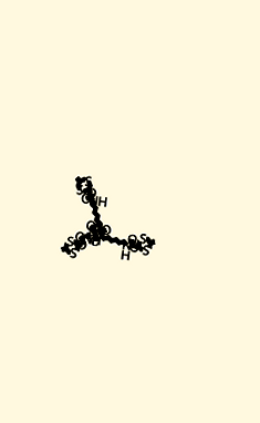 C=C1CSCC(OC(=O)NCCCCCCn2c(=O)n(CCCCCCNC(=O)OC3CSCC(=C)CSC3)c(=O)n(CNC(=O)OC3CSCC(=C)CSC3)c2=O)CSC1